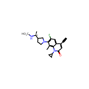 C#Cc1cc(=O)n(C2CC2)c2c(C)c(N3CCC([C@H](C)NC(=O)O)C3)c(F)cc12